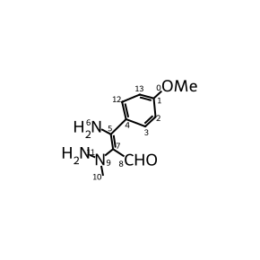 COc1ccc(/C(N)=C(\C=O)N(C)N)cc1